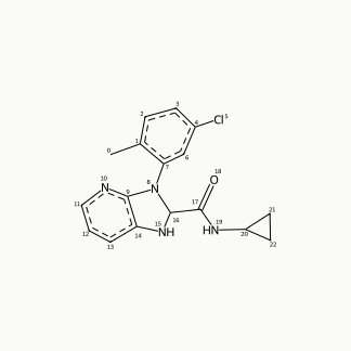 Cc1ccc(Cl)cc1N1c2ncccc2NC1C(=O)NC1CC1